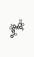 O=C1NCCc2c(-c3ccc(F)c(C(=O)N4CCN(C(=O)c5ccccc5)CC4)c3)[nH]c3cc(F)cc1c23